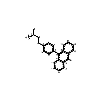 CC(S)CCc1ccc(-c2c3ccccc3cc3ccccc23)cc1